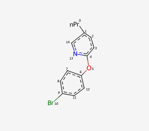 CCCc1ccc(Oc2ccc(Br)cc2)nc1